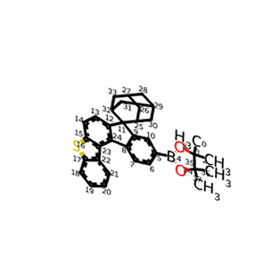 CC1(C)OB(c2ccc3c(c2)C2(c4ccc5sc6ccccc6c5c4-3)C3CC4CC(C3)CC2C4)OC1(C)C